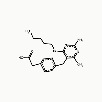 CCCCCNc1nc(N)nc(C)c1Cc1ccc(CC(=O)O)cc1